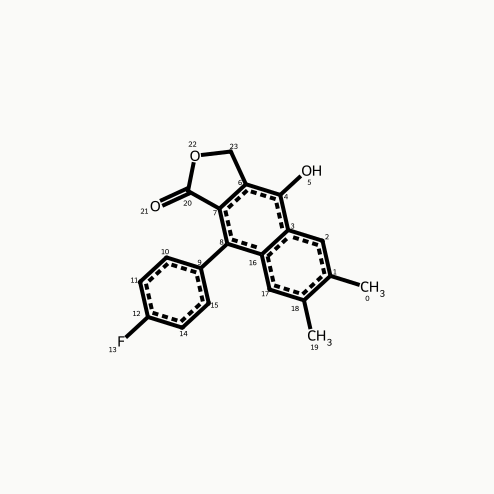 Cc1cc2c(O)c3c(c(-c4ccc(F)cc4)c2cc1C)C(=O)OC3